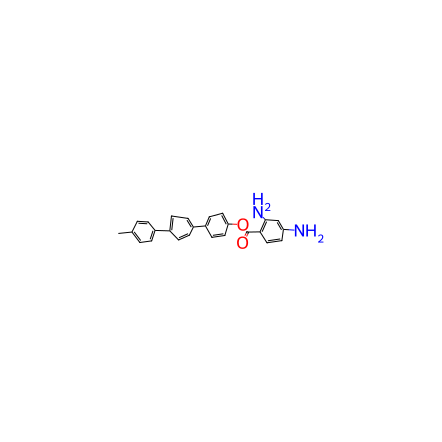 Cc1ccc(-c2ccc(-c3ccc(OC(=O)c4ccc(N)cc4N)cc3)cc2)cc1